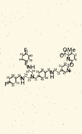 COC(=O)c1cccc(Oc2ccc(CCNCc3ccc(CN(CCNCc4ccc(F)cc4)CCNCc4ccc(F)cc4)cc3)cn2)n1